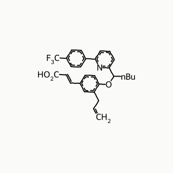 C=CCc1cc(C=CC(=O)O)ccc1OC(CCCC)c1cccc(-c2ccc(C(F)(F)F)cc2)n1